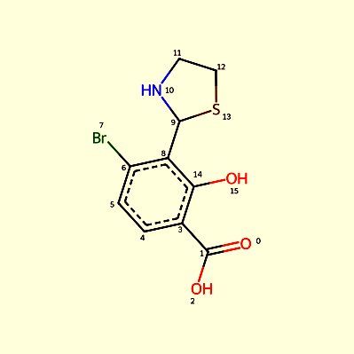 O=C(O)c1ccc(Br)c(C2NCCS2)c1O